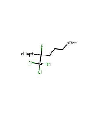 CCCCCCCCCCCCCC(F)(CCCCCCC)[Si](Cl)(Cl)Cl